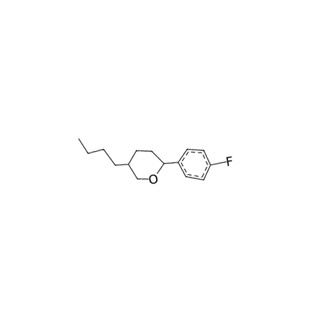 CCCCC1CCC(c2ccc(F)cc2)OC1